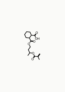 C=C(C)C(=O)OC(C)CCOC(=O)C1CCCCC1C(=O)O